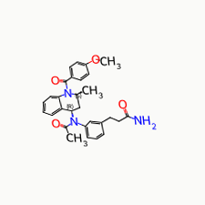 COc1ccc(C(=O)N2c3ccccc3[C@H](N(C(C)=O)c3cccc(CCC(N)=O)c3)C[C@@H]2C)cc1